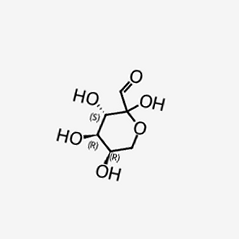 O=CC1(O)OC[C@@H](O)[C@@H](O)[C@@H]1O